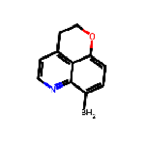 Bc1ccc2c3c(ccnc13)CCO2